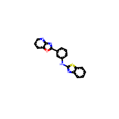 c1cc(Nc2nc3ccccc3s2)cc(-c2nc3ncccc3o2)c1